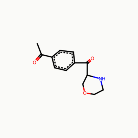 CC(=O)c1ccc(C(=O)C2COCCN2)cc1